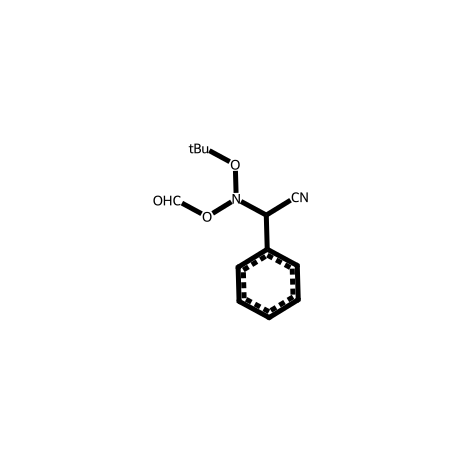 CC(C)(C)ON(OC=O)C(C#N)c1ccccc1